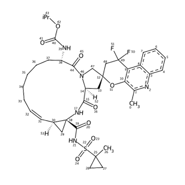 Cc1nc2ccccc2c2c1O[C@@]1(C[C@H]3C(=O)N[C@]4(C(=O)NS(=O)(=O)C5(C)CC5)C[C@H]4/C=C\CCCCC[C@H](NC(=O)OC(C)C)C(=O)N3C1)CC2(F)F